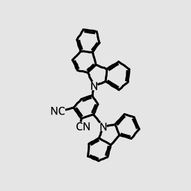 N#Cc1cc(-n2c3ccccc3c3c4ccccc4ccc32)cc(-n2c3ccccc3c3ccccc32)c1C#N